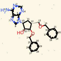 Nc1ncnc2c1ncn2[C@@H]1C[C@H](COCc2ccccc2)[C@@H](OCc2ccccc2)[C@H]1O